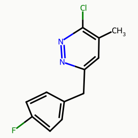 Cc1cc(Cc2ccc(F)cc2)nnc1Cl